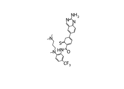 CN(C)CCCN(C)c1ccc(C(F)(F)F)cc1NC(=O)C1=CC=C(c2ccc3nc(N)ncc3c2)CC1=S